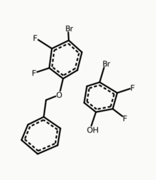 Fc1c(Br)ccc(OCc2ccccc2)c1F.Oc1ccc(Br)c(F)c1F